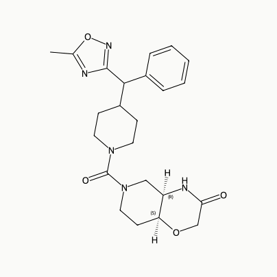 Cc1nc(C(c2ccccc2)C2CCN(C(=O)N3CC[C@@H]4OCC(=O)N[C@@H]4C3)CC2)no1